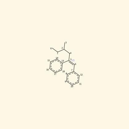 CCC(C)C/C(=C/c1ccccc1)c1ccccc1